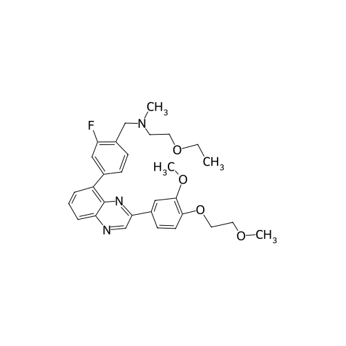 CCOCCN(C)Cc1ccc(-c2cccc3ncc(-c4ccc(OCCOC)c(OC)c4)nc23)cc1F